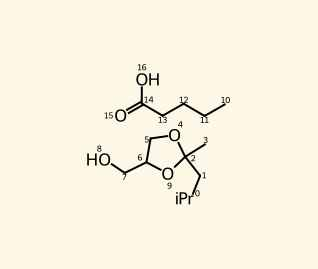 CC(C)CC1(C)OCC(CO)O1.CCCCC(=O)O